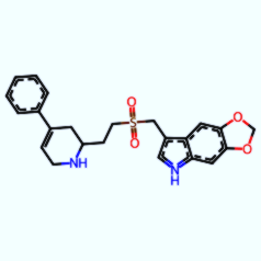 O=S(=O)(CCC1CC(c2ccccc2)=CCN1)Cc1c[nH]c2cc3c(cc12)OCO3